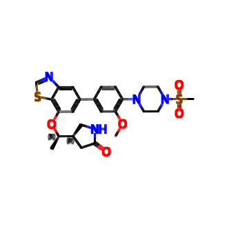 COc1cc(-c2cc(O[C@H](C)[C@H]3CNC(=O)C3)c3scnc3c2)ccc1N1CCN(S(C)(=O)=O)CC1